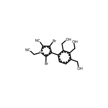 N#CCn1c(Br)c(-c2ccc(CO)c(CO)c2CO)c(Br)c1C#N